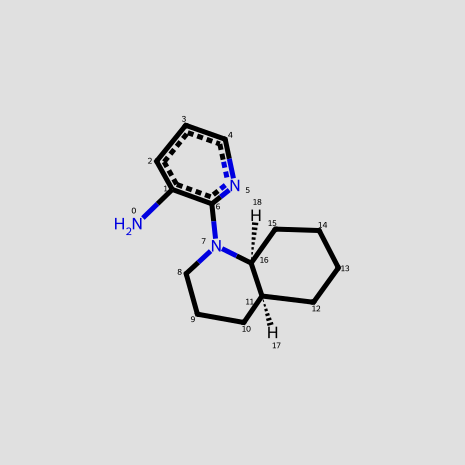 Nc1cccnc1N1CCC[C@@H]2CCCC[C@@H]21